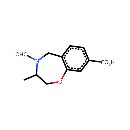 CC1COc2cc(C(=O)O)ccc2CN1C=O